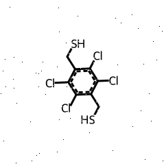 SCc1c(Cl)c(Cl)c(CS)c(Cl)c1Cl